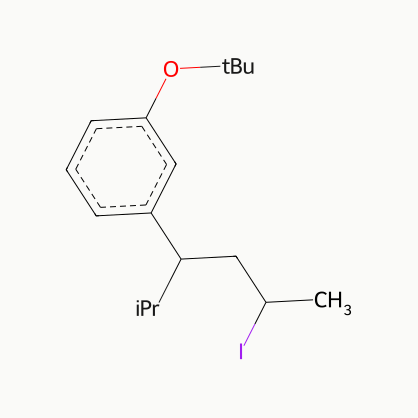 CC(I)CC(c1cccc(OC(C)(C)C)c1)C(C)C